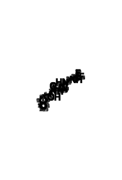 O=C(NCC(O)CN1CCc2ccccc2C1)c1ccnc(NCCNCC(F)(F)F)c1